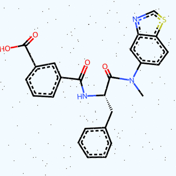 CN(C(=O)[C@H](Cc1ccccc1)NC(=O)c1cccc(C(=O)O)c1)c1ccc2scnc2c1